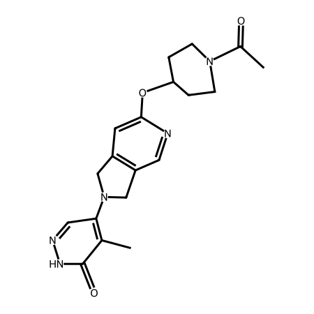 CC(=O)N1CCC(Oc2cc3c(cn2)CN(c2cn[nH]c(=O)c2C)C3)CC1